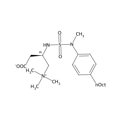 CCCCCCCCc1ccc(N(C)S(=O)(=O)N[C@H](CC(=O)[O-])C[N+](C)(C)C)cc1